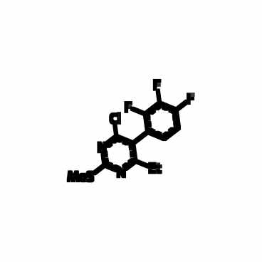 CCc1nc(SC)nc(Cl)c1-c1ccc(F)c(F)c1F